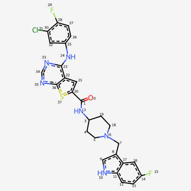 O=C(NC1CCN(Cc2c[nH]c3ccc(F)cc23)CC1)c1cc2c(Nc3ccc(F)c(Cl)c3)ncnc2s1